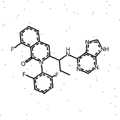 CCC(Nc1ncnc2[nH]cnc12)c1cc2cccc(F)c2c(=O)n1-c1c(F)cccc1F